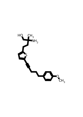 COc1ccc(CCCC#Cc2ccc(CCC(C)(N)CO)s2)cc1